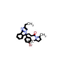 CCc1cn2c(n1)-c1ccccc1C2(CCC(=O)N1C(C)CCC1C)c1ccc(Br)cc1